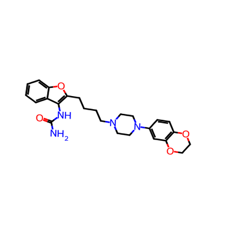 NC(=O)Nc1c(CCCCN2CCN(c3ccc4c(c3)OCCO4)CC2)oc2ccccc12